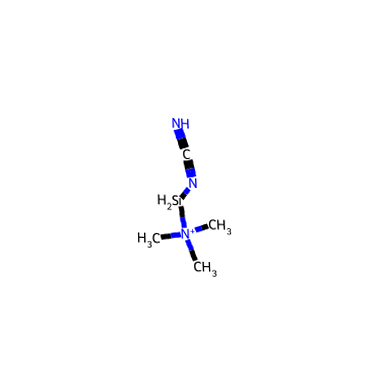 C[N+](C)(C)[SiH2]N=C=N